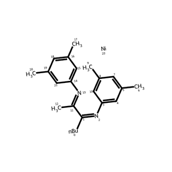 CCCCC(=Nc1cc(C)cc(C)c1)C(C)=Nc1cc(C)cc(C)c1.[Ni]